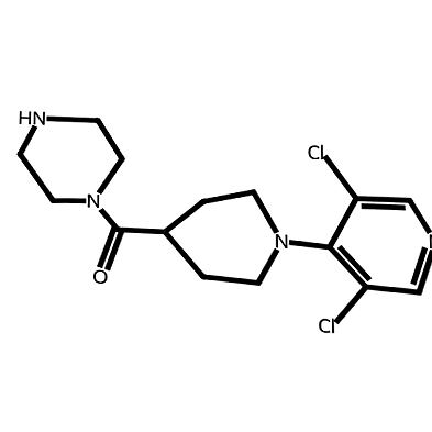 O=C(C1CCN(c2c(Cl)cncc2Cl)CC1)N1CCNCC1